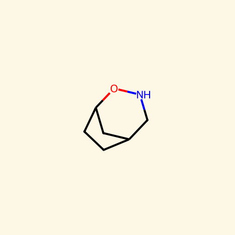 C1CC2CC1CNO2